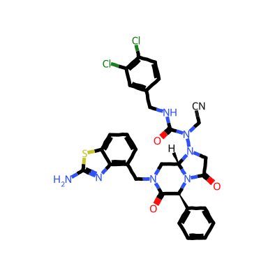 N#CCN(C(=O)NCc1ccc(Cl)c(Cl)c1)N1CC(=O)N2[C@@H](c3ccccc3)C(=O)N(Cc3cccc4sc(N)nc34)C[C@@H]21